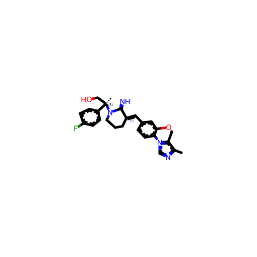 Cc1ncn2c1COc1cc(/C=C3\CCCN([C@](C)(CO)c4ccc(F)cc4)C3=N)ccc1-2